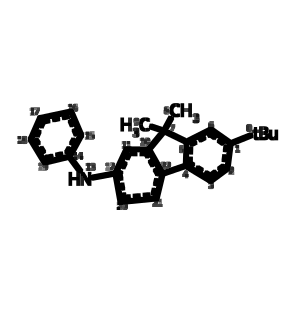 CC(C)(C)c1ccc2c(c1)C(C)(C)c1cc(Nc3ccccc3)ccc1-2